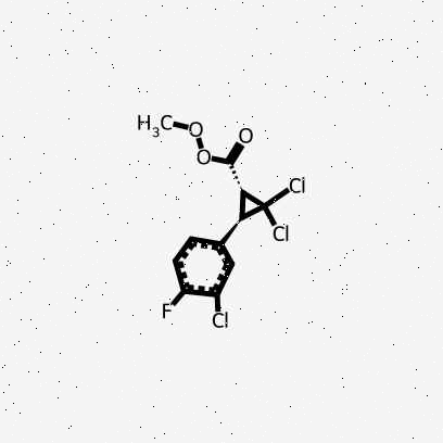 COOC(=O)[C@H]1[C@H](c2ccc(F)c(Cl)c2)C1(Cl)Cl